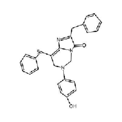 O=C1C(Cc2ccccc2)=NC2=C([Se]c3ccccc3)CN(c3ccc(O)cc3)CN12